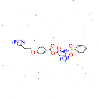 N[C@H](CC(=O)OC(=O)c1ccc(OCCc2c[nH]cn2)cc1)NS(=O)(=O)c1ccccc1